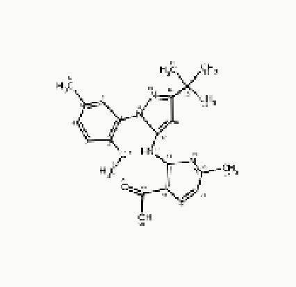 COc1ccc(C)cc1-n1nc(C(C)(C)C)cc1Nc1nc(C)ccc1C(=O)O